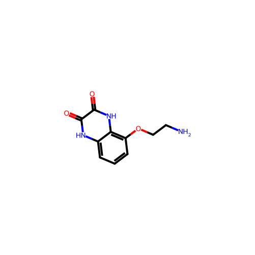 NCCOc1cccc2[nH]c(=O)c(=O)[nH]c12